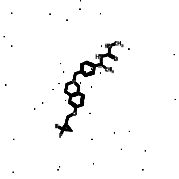 CNC(=O)N[C@@H](C)c1ccc(CN2CCc3cc(OCC4CC4(F)F)ccc3C2)cc1